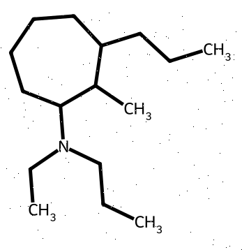 CCCC1CCCCC(N(CC)CCC)C1C